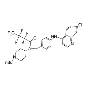 CCCCN1CCC(N(Cc2ccc(Nc3ccnc4cc(Cl)ccc34)cc2)C(=O)C(F)(F)C(F)(F)C(F)(F)F)CC1